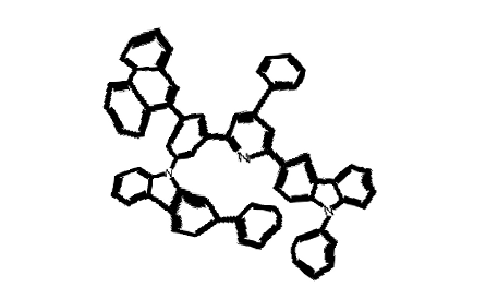 c1ccc(-c2cc(-c3cc(-c4cc5ccccc5c5ccccc45)cc(-n4c5ccccc5c5ccc(-c6ccccc6)cc54)c3)nc(-c3ccc4c(c3)c3ccccc3n4-c3ccccc3)c2)cc1